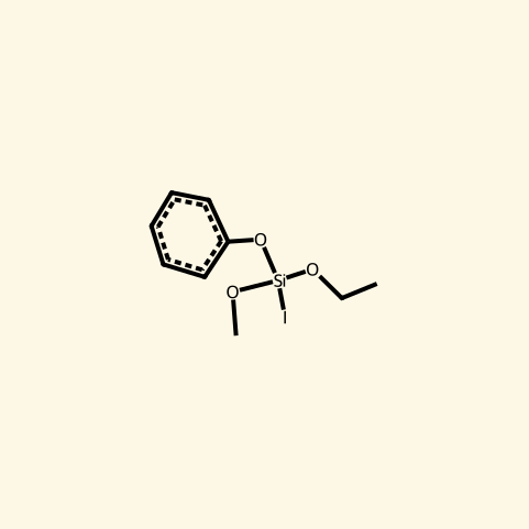 CCO[Si](I)(OC)Oc1ccccc1